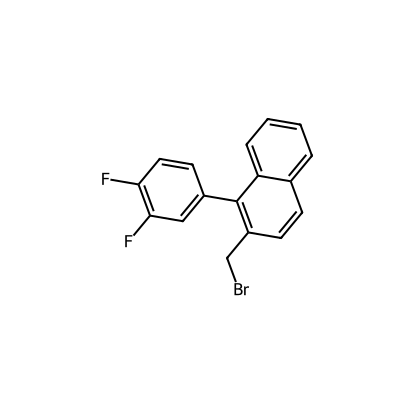 Fc1ccc(-c2c(CBr)ccc3ccccc23)cc1F